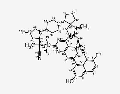 C#Cc1c(F)ccc2cc(O)cc(C3=Cc4nc(OC[C@]5(C(C)(C)C#N)C[C@@H](F)CN5C5CCOCC5)nc(NCC5(N(C)C(=O)C=C)CCCC5)c4CC3)c12